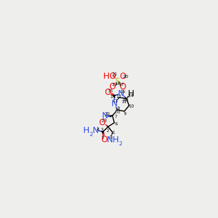 NCC1(C(N)=O)CC([C@@H]2CC[C@@H]3CN2C(=O)N3OS(=O)(=O)O)=NO1